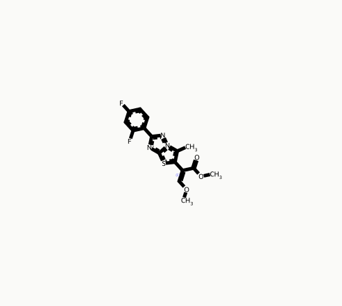 CO/C=C(\C(=O)OC)c1sc2nc(-c3ccc(F)cc3F)nn2c1C